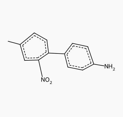 Cc1ccc(-c2ccc(N)cc2)c([N+](=O)[O-])c1